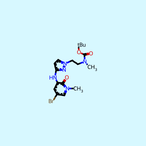 CN(CCn1ccc(Nc2cc(Br)cn(C)c2=O)n1)C(=O)OC(C)(C)C